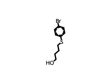 OCCCCSc1ccc(Br)cc1